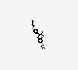 CCCCOc1ccc(-c2cc3ccc(OCO)cc3oc2=O)cc1